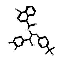 O=C(NC(Cc1ccc(C(F)(F)F)cc1)C(O)c1ccc(F)c(F)c1)c1ccc(F)c2ccccc12